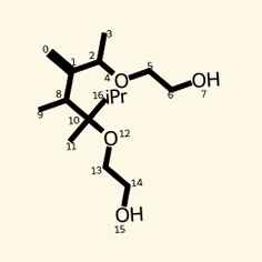 C=C(C(C)OCCO)C(C)C(C)(OCCO)C(C)C